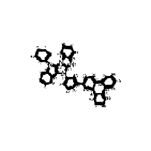 c1ccc(-n2c3ccccc3c3c2n2c4ccccc4nc2n3-c2cccc(-c3ccc4c5ccccc5c5ccccc5c4c3)c2)cc1